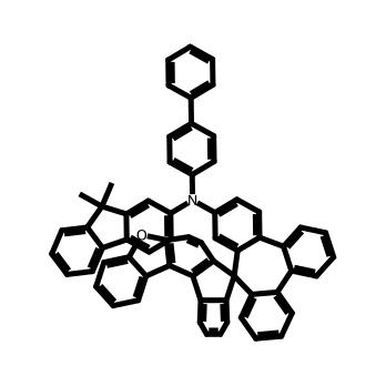 CC1(C)c2ccccc2-c2ccc(N(c3ccc(-c4ccccc4)cc3)c3ccc4c(c3)C3(c5ccccc5-c5ccccc5-4)c4ccccc4-c4c3ccc3oc5ccccc5c43)cc21